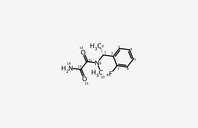 C[C@H](c1ccccc1F)N(C)C(=O)C(N)=O